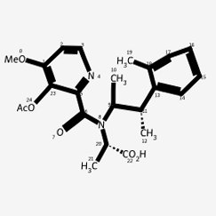 COc1ccnc(C(=O)N(C(C)[C@@H](C)c2ccccc2C)[C@@H](C)C(=O)O)c1OC(C)=O